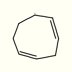 [CH]1C=CCC=CCC1